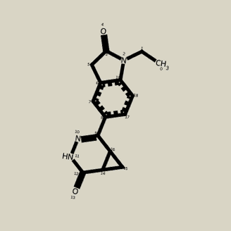 CCN1C(=O)Cc2cc(C3=NNC(=O)C4CC34)ccc21